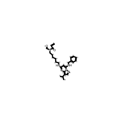 C=CC(=O)N(C=O)CCCCCCNc1cc(NCc2ccccc2)n2ncc(C(C)C)c2n1